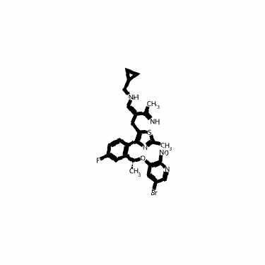 CC(=N)/C(=C\NCC1CC1)Cc1sc(C)nc1-c1ccc(F)cc1[C@@H](C)Oc1cc(Br)cnc1N=O